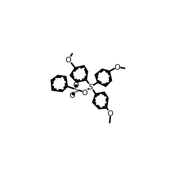 COc1ccc(S(OS(=O)(=O)c2ccccc2)(c2ccc(OC)cc2)c2ccc(OC)cc2)cc1